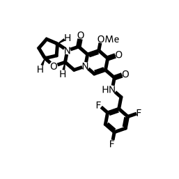 COc1c2n(cc(C(=O)NCc3c(F)cc(F)cc3F)c1=O)C[C@@H]1O[C@@H]3CC[C@@H](C3)N1C2=O